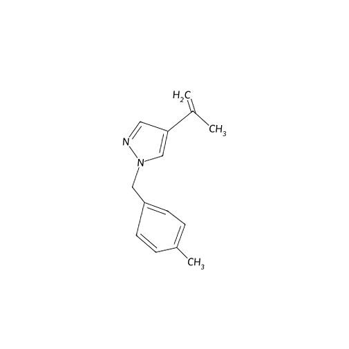 C=C(C)c1cnn(Cc2ccc(C)cc2)c1